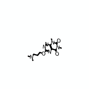 CN(C)CCCOc1nnc2c(n1)c(=O)n(C)c(=O)n2C